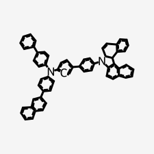 C1=CC2C(c3ccccc31)c1c(ccc3ccccc13)N2c1ccc(-c2ccc(N(c3ccc(-c4ccccc4)cc3)c3ccc(-c4ccc5ccccc5c4)cc3)cc2)cc1